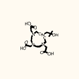 CC(C)(O)CN1CCN(CC(=O)O)CCN(CC(=O)O)CCN(CC(=O)O)CC1